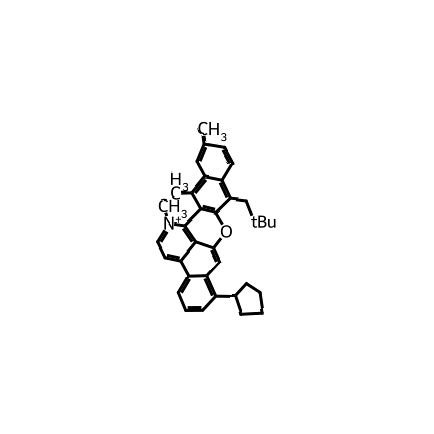 Cc1ccc2c(CC(C)(C)C)c3c(c(C)c2c1)-c1c2c(cc4c(C5CCCC5)cccc4c2cc[n+]1C)O3